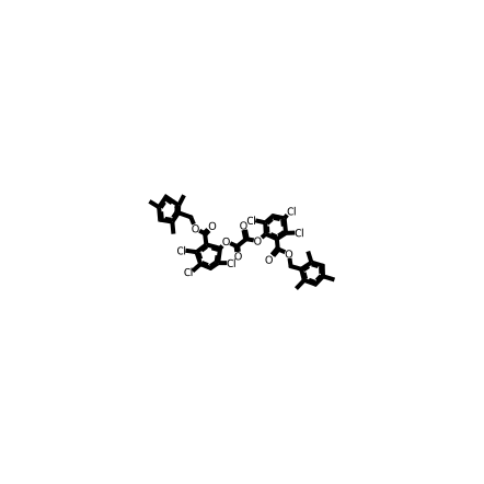 Cc1cc(C)c(COC(=O)c2c(Cl)c(Cl)cc(Cl)c2OC(=O)C(=O)Oc2c(Cl)cc(Cl)c(Cl)c2C(=O)OCc2c(C)cc(C)cc2C)c(C)c1